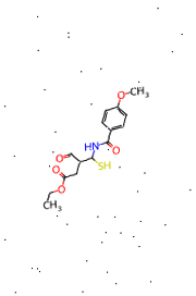 CCOC(=O)CC(C=O)C(S)NC(=O)c1ccc(OC)cc1